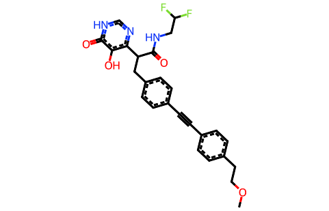 COCCc1ccc(C#Cc2ccc(CC(C(=O)NCC(F)F)c3nc[nH]c(=O)c3O)cc2)cc1